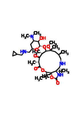 CC[C@H]1OC(=O)[C@H](C)C(=O)[C@H](C)[C@@H](O[C@@H]2OC(CNCC3CC3)CC(N(C)C)C2O)[C@](C)(OC)C[C@@H](C)CN[C@H](C)[C@H]2NC(=O)O[C@@]21C